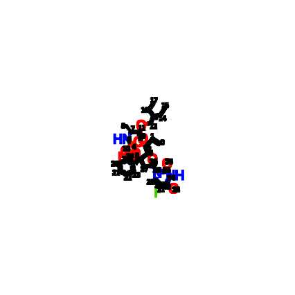 C=C[C@@H](O[P@@](=O)(N[C@@H](C)C(=O)OCC(CC)CC)Oc1ccccc1)[C@H]1O[C@@H](n2cc(F)c(=O)[nH]c2=O)C[C@@H]1O